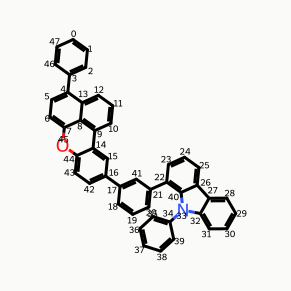 c1ccc(-c2ccc3c4c(cccc24)-c2cc(-c4cccc(-c5cccc6c7ccccc7n(-c7ccccc7)c56)c4)ccc2O3)cc1